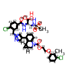 Cc1c(Cl)cccc1OCCOC(=O)N1C[C@@H]2C[C@@H]2c2c(-c3cnn(Cc4cc(C(=O)N[C@@H](CNS(C)(=O)=O)C(=O)O)ccc4Cl)c3)cccc21